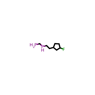 FC1CCC(CCPCP)C1